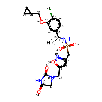 C[C@@H](NS(=O)(=O)Cc1cc(CN2CC(=O)NC2=O)on1)c1ccc(F)c(OCC2CC2)c1